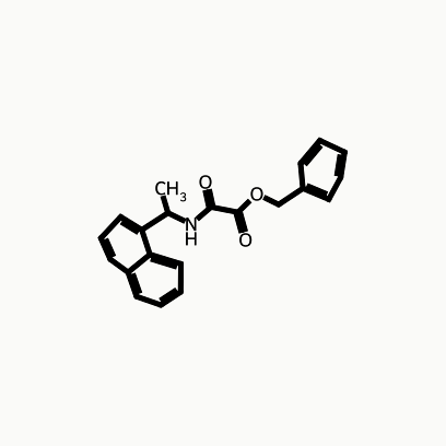 CC(NC(=O)C(=O)OCc1ccccc1)c1cccc2ccccc12